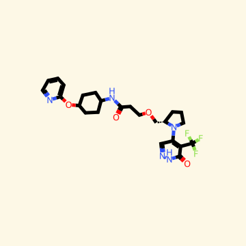 O=C(CCOC[C@@H]1CCCN1c1cn[nH]c(=O)c1C(F)(F)F)NC1CCC(Oc2ccccn2)CC1